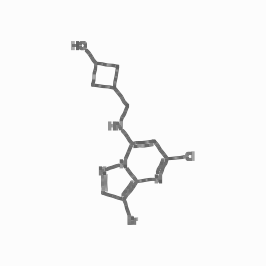 OC1CC(CNc2cc(Cl)nc3c(Br)cnn23)C1